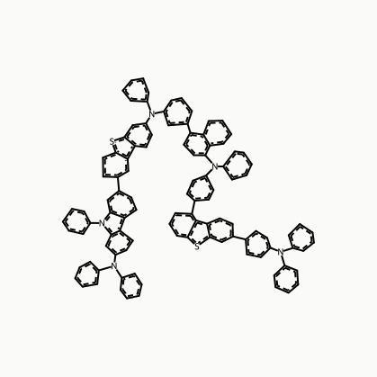 c1ccc(N(c2ccccc2)c2ccc(-c3ccc4c(c3)sc3cccc(-c5ccc(N(c6ccccc6)c6ccc(-c7cccc(N(c8ccccc8)c8ccc9c(c8)sc8ccc(-c%10ccc%11c%12ccc(N(c%13ccccc%13)c%13ccccc%13)cc%12n(-c%12ccccc%12)c%11c%10)cc89)c7)c7ccccc67)cc5)c34)cc2)cc1